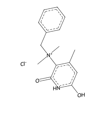 Cc1cc(O)[nH]c(=O)c1[N+](C)(C)Cc1ccccc1.[Cl-]